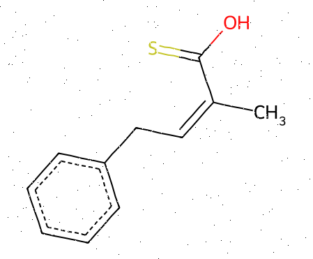 CC(=CCc1ccccc1)C(O)=S